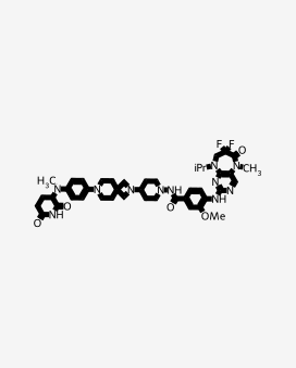 COc1cc(C(=O)NN2CCC(N3CC4(CCN(c5ccc(N(C)C6CCC(=O)NC6=O)cc5)CC4)C3)CC2)ccc1Nc1ncc2c(n1)N(C(C)C)CC(F)(F)C(=O)N2C